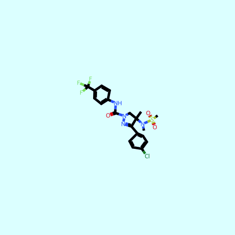 CN(C1(C)CN(C(=O)Nc2ccc(C(F)(F)F)cc2)N=C1c1ccc(Cl)cc1)S(C)(=O)=O